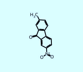 Cc1ccc2c(c1)C(=O)c1cc([N+](=O)[O-])ccc1-2